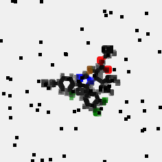 Bc1ccc(C2(C)N=C3SC(C(=O)OCC)=C(C(C)C)N3C2c2ccc(Cl)c(F)c2)c(F)c1